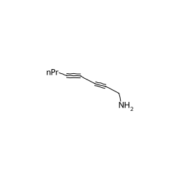 CCCC#CC#CCN